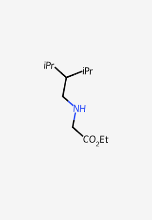 CCOC(=O)CNCC(C(C)C)C(C)C